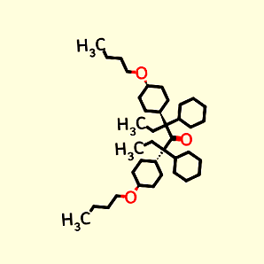 CCCCO[C@H]1CC[C@H](C(CC)(C(=O)C(CC)(C2CCCCC2)[C@H]2CC[C@H](OCCCC)CC2)C2CCCCC2)CC1